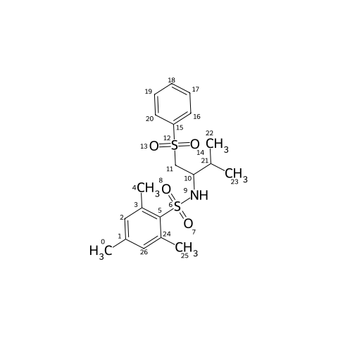 Cc1cc(C)c(S(=O)(=O)NC(CS(=O)(=O)c2ccccc2)C(C)C)c(C)c1